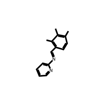 Cc1ccc(C=Nc2ccccn2)c(C)c1C